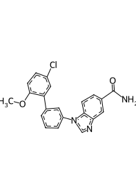 COc1ccc(Cl)cc1-c1cccc(-n2cnc3cc(C(N)=O)ccc32)c1